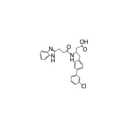 O=C(O)CC(Cc1ccc(-c2cccc(Cl)c2)cc1)NC(=O)CCc1nc2ccccc2[nH]1